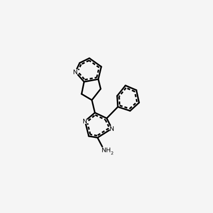 Nc1cnc(C2Cc3cccnc3C2)c(-c2ccccc2)n1